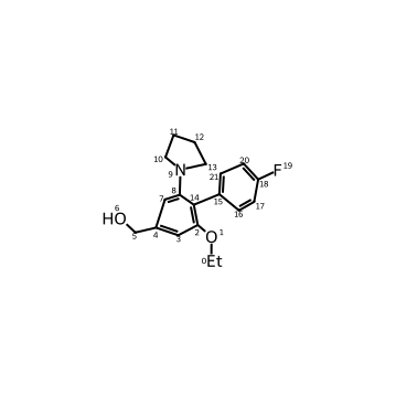 CCOc1cc(CO)cc(N2CCCC2)c1-c1ccc(F)cc1